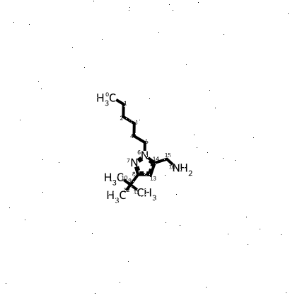 CCCCCCn1nc(C(C)(C)C)cc1CN